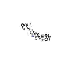 CC(C)(CCCCC1CCCC(/C=C\C2CCCC(CCCCC(C)(C)C(=O)O)C2=O)C1=O)OC=O